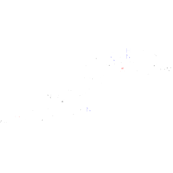 COOCCCCOc1cc2nccc(Oc3ccc(NC(=O)Nc4ccc(OC)cc4)cc3)c2cc1C#N